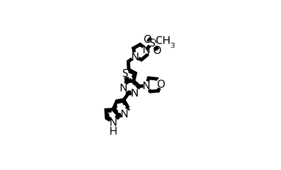 CS(=O)(=O)N1CCN(Cc2cc3c(N4CCOCC4)nc(-c4cnc5[nH]ccc5c4)nc3s2)CC1